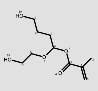 C=C(C)C(=O)OC(CCCO)OCCO